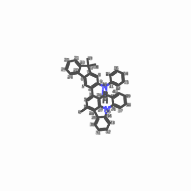 Cc1cc(-c2cc3c(cc2Nc2ccccc2)C(C)(C)c2ccccc2-3)c2c3c1c1ccccc1n3-c1ccccc1B2